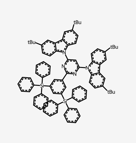 CC(C)(C)c1ccc2c(c1)c1cc(C(C)(C)C)ccc1n2-c1cc(-n2c3ccc(C(C)(C)C)cc3c3cc(C(C)(C)C)ccc32)nc(-c2cc([Si](c3ccccc3)(c3ccccc3)c3ccccc3)cc([Si](c3ccccc3)(c3ccccc3)c3ccccc3)c2)n1